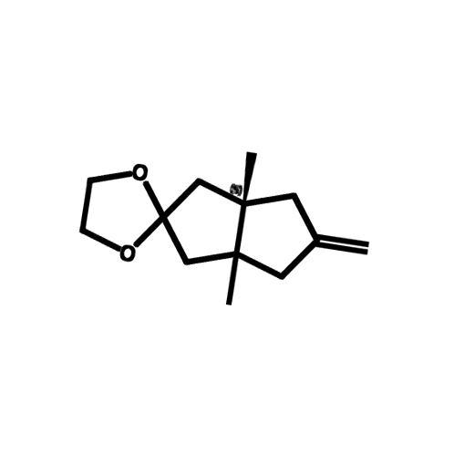 C=C1CC2(C)CC3(C[C@]2(C)C1)OCCO3